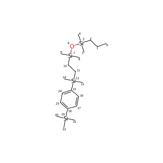 CCC[Si](C)(C)O[Si](C)(C)CC[Si](C)(C)c1ccc([Si](C)(C)C)cc1